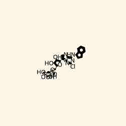 O=P(O)(O)CP(=O)(O)OC[C@H]1O[C@@H](c2cnc3c(N[C@H]4CCc5ccccc54)nc(Cl)nn23)[C@H](O)[C@@H]1O